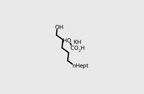 CCCCCCCCCCCCO.O=C(O)O.[KH]